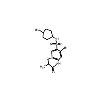 CC1Oc2cc(S(=O)(=O)NC3CCC(C(C)(C)C)CC3)c(Br)cc2NC1=O